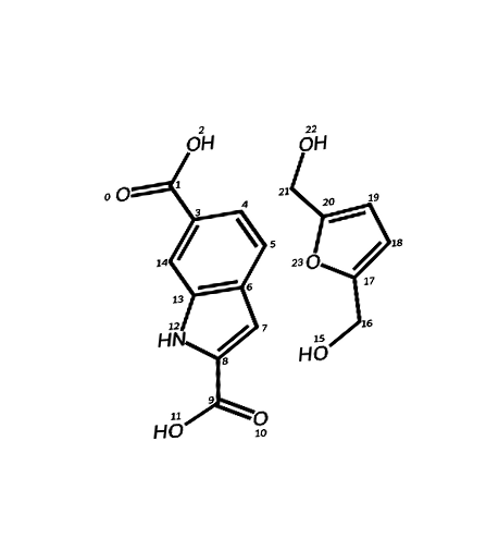 O=C(O)c1ccc2cc(C(=O)O)[nH]c2c1.OCc1ccc(CO)o1